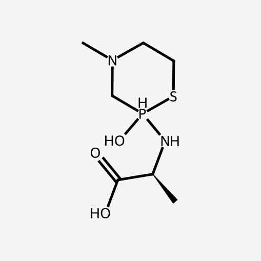 C[C@H](N[PH]1(O)CN(C)CCS1)C(=O)O